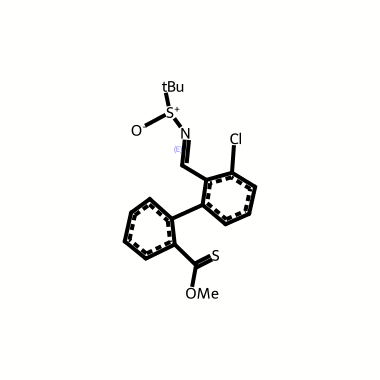 COC(=S)c1ccccc1-c1cccc(Cl)c1/C=N/[S+]([O-])C(C)(C)C